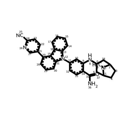 CN1C2CCC1CC(Nc1cc(-n3c4ccccc4c4c(-c5ccc(C#N)nc5)cccc43)ccc1C(N)=O)C2